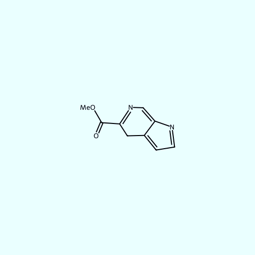 COC(=O)C1=NC=C2N=CC=C2C1